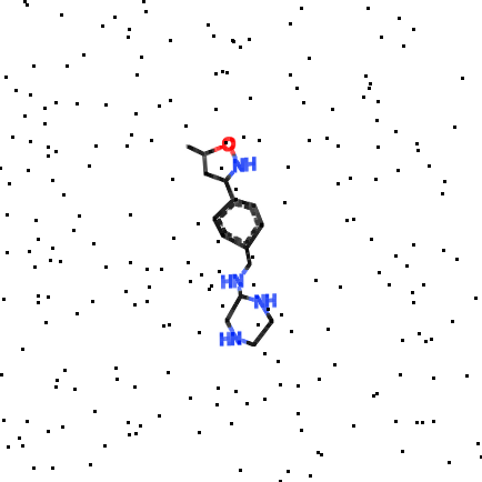 CC1CC(c2ccc(CNC3CNCCN3)cc2)NO1